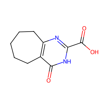 O=C(O)c1nc2c(c(=O)[nH]1)CCCCC2